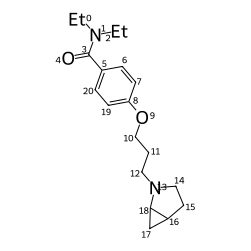 CCN(CC)C(=O)c1ccc(OCCCN2CCC3CC32)cc1